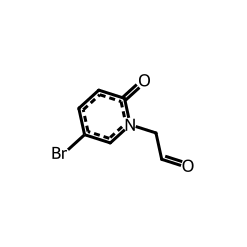 O=CCn1cc(Br)ccc1=O